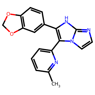 Cc1cccc(-c2c(-c3ccc4c(c3)OCO4)[nH]c3nccn23)n1